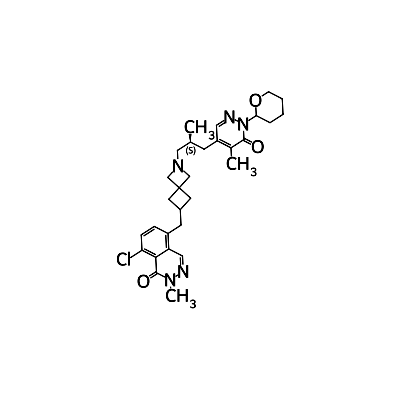 Cc1c(C[C@H](C)CN2CC3(CC(Cc4ccc(Cl)c5c(=O)n(C)ncc45)C3)C2)cnn(C2CCCCO2)c1=O